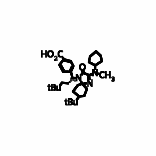 CN(C1=NC2(CCC(C(C)(C)C)CC2)N([C@H](CCC(C)(C)C)c2ccc(C(=O)O)cc2)C1=O)C1CCCCC1